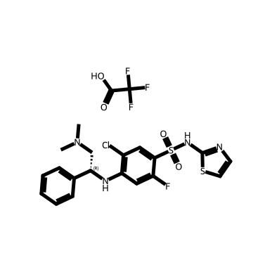 CN(C)C[C@H](Nc1cc(F)c(S(=O)(=O)Nc2nccs2)cc1Cl)c1ccccc1.O=C(O)C(F)(F)F